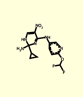 NC1(C2CC2)N=C(Nc2ccc(OC(F)F)nc2)C([N+](=O)[O-])=CN1